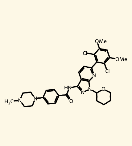 COc1cc(OC)c(Cl)c(-c2ccc3c(NC(=O)c4ccc(N5CCN(C)CC5)cc4)nn(C4CCCCO4)c3n2)c1Cl